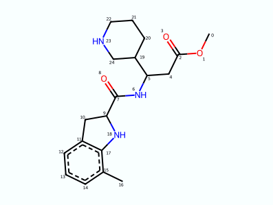 COC(=O)CC(NC(=O)C1Cc2cccc(C)c2N1)C1CCCNC1